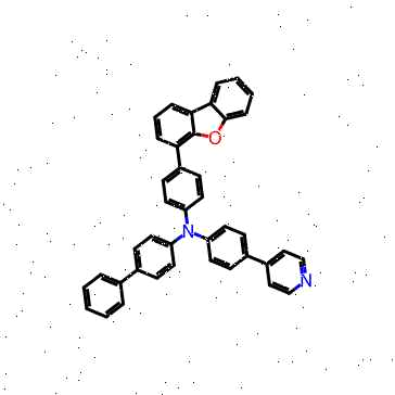 c1ccc(-c2ccc(N(c3ccc(-c4ccncc4)cc3)c3ccc(-c4cccc5c4oc4ccccc45)cc3)cc2)cc1